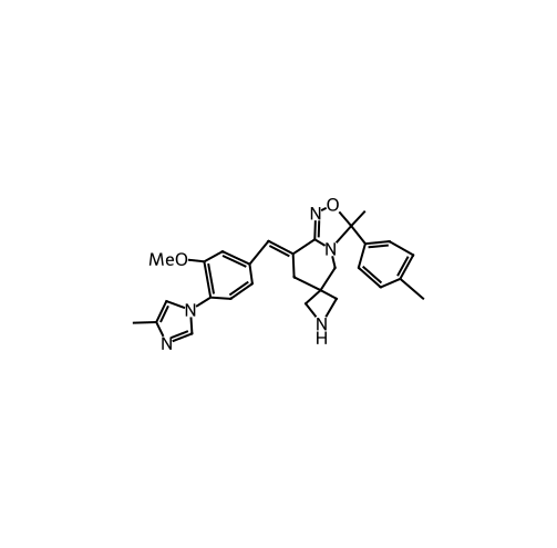 COc1cc(/C=C2\CC3(CNC3)CN3C2=NOC3(C)c2ccc(C)cc2)ccc1-n1cnc(C)c1